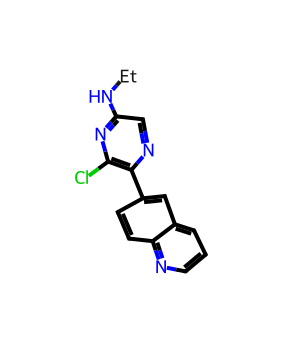 CCNc1cnc(-c2ccc3ncccc3c2)c(Cl)n1